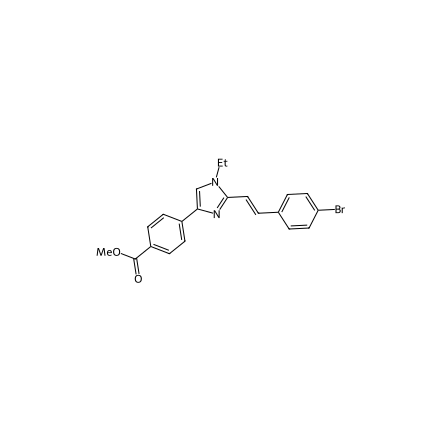 CCn1cc(-c2ccc(C(=O)OC)cc2)nc1/C=C/c1ccc(Br)cc1